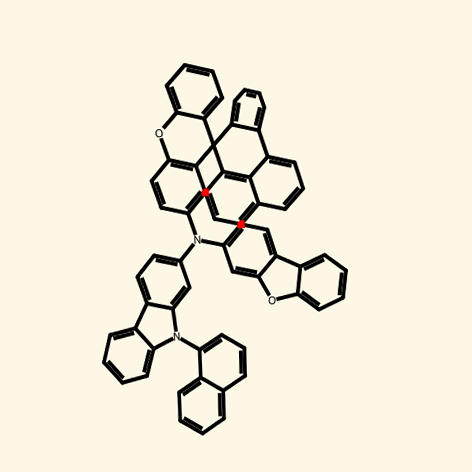 c1ccc2c(c1)Oc1ccc(N(c3ccc4c(c3)oc3ccccc34)c3ccc4c5ccccc5n(-c5cccc6ccccc56)c4c3)cc1C21c2ccccc2-c2cccc3cccc1c23